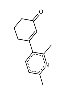 Cc1ccc(C2=CC(=O)CCC2)c(C)n1